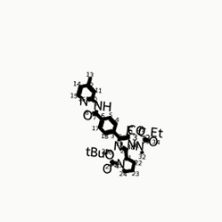 CCOC(=O)c1c(-c2ccc(C(=O)Nc3cc(C)ccn3)cc2)nc(C2CCCN2C(=O)OC(C)(C)C)n1N(C)C(=O)C(F)(F)F